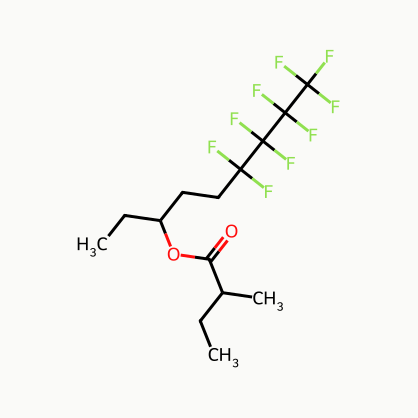 CCC(CCC(F)(F)C(F)(F)C(F)(F)C(F)(F)F)OC(=O)C(C)CC